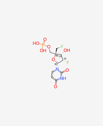 O=c1ccn([C@@H]2O[C@](CF)(COP(=O)(O)O)[C@H](O)[C@@H]2F)c(=O)[nH]1